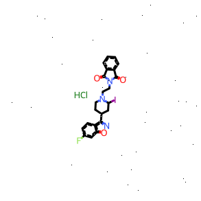 Cl.O=C1c2ccccc2C(=O)N1CCN1CCC(c2noc3cc(F)ccc23)CC1I